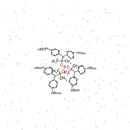 CCCCCCCCCc1ccc(C(c2ccc(CCCCCCCCC)cc2)C(C)(C)OP(OC(C)(C)C(c2ccc(CCCCCCCCC)cc2)c2ccc(CCCCCCCCC)cc2)OC(C)(C)C(c2ccc(CCCCCCCCC)cc2)c2ccc(CCCCCCCCC)cc2)cc1